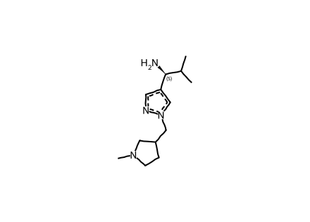 CC(C)[C@H](N)c1cnn(CC2CCN(C)C2)c1